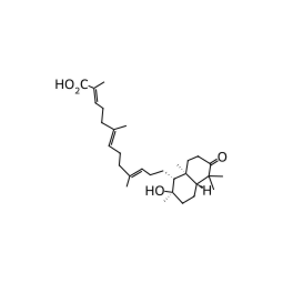 C/C(=C\CC/C(C)=C/CC[C@@H]1[C@@]2(C)CCC(=O)C(C)(C)[C@@H]2CC[C@@]1(C)O)CC/C=C(\C)C(=O)O